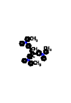 C=C(/C=C(\C=C(/C)C1=CCC=C(N(c2ccccc2)c2cccc(C)c2)C=C1)c1ccc(N(c2ccccc2)c2cccc(C)c2)cc1)c1ccc(N(c2ccccc2)c2cccc(C)c2)cc1